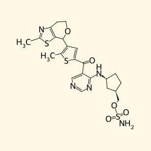 Cc1nc2c(s1)C(c1cc(C(=O)c3cncnc3N[C@H]3CC[C@@H](COS(N)(=O)=O)C3)sc1C)OCC2